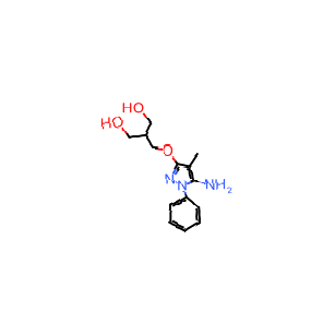 Cc1c(OCC(CO)CO)nn(-c2ccccc2)c1N